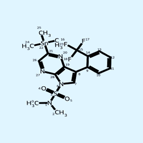 CN(C)S(=O)(=O)n1cc(-c2ccccc2C(F)(F)F)c2n[c]([Sn]([CH3])([CH3])[CH3])cnc21